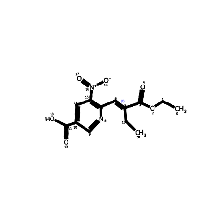 CCOC(=O)/C(=C/c1ncc(C(=O)O)cc1[N+](=O)[O-])CC